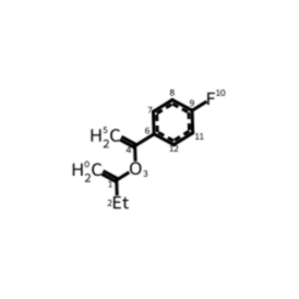 C=C(CC)OC(=C)c1ccc(F)cc1